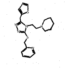 c1ccc(CSc2nnc(-c3cccs3)n2CCN2CCCCC2)nc1